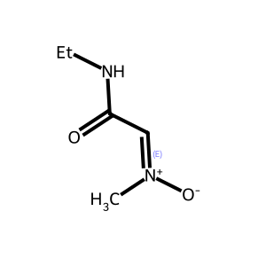 CCNC(=O)/C=[N+](\C)[O-]